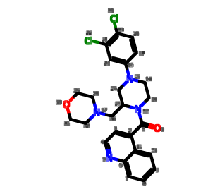 O=C(c1ccnc2ccccc12)N1CCN(c2ccc(Cl)c(Cl)c2)CC1CN1CCOCC1